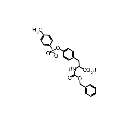 Cc1ccc(S(=O)(=O)Oc2ccc(CC(NC(=O)OCc3ccccc3)C(=O)O)cc2)cc1